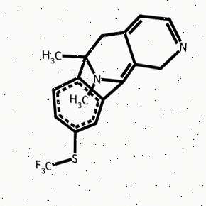 CN1C2=C3CN=CC=C3CC1(C)c1ccc(SC(F)(F)F)cc12